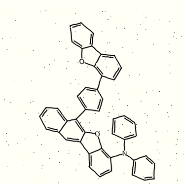 c1ccc(N(c2ccccc2)c2cccc3c2oc2c(-c4ccc(-c5cccc6c5oc5ccccc56)cc4)c4ccccc4cc23)cc1